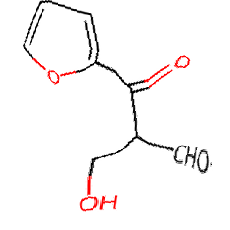 O=[C]C(CO)C(=O)c1ccco1